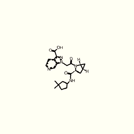 CC1(C)CCC(NC(=O)[C@@H]2C[C@H]3C[C@H]3N2C(=O)Cn2nc(C(=O)O)c3ccncc32)C1